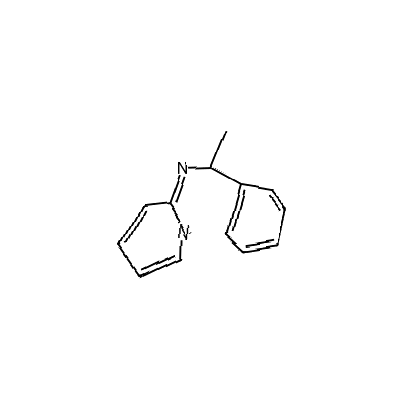 CC(N=C1C=CC=C[N]1)c1ccccc1